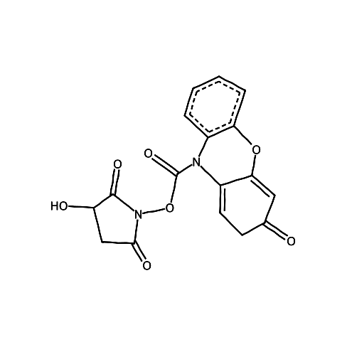 O=C1C=C2Oc3ccccc3N(C(=O)ON3C(=O)CC(O)C3=O)C2=CC1